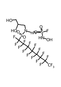 CCCN(CC(O)CO)S(=O)(=O)C(F)(F)C(F)(F)C(F)(F)C(F)(F)C(F)(F)C(F)(F)C(F)(F)C(F)(F)F.O=S(=O)(F)NO